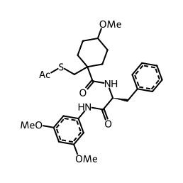 COc1cc(NC(=O)[C@H](Cc2ccccc2)NC(=O)C2(CSC(C)=O)CCC(OC)CC2)cc(OC)c1